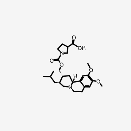 COc1cc2c(cc1OC)[C@H]1C[C@@H](COC(=O)N3CCC(C(=O)O)C3)[C@H](CC(C)C)CN1CC2